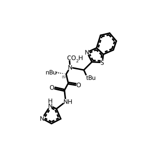 CCCC[C@@H](C(=O)C(=O)Nc1ccn[nH]1)N(C(=O)O)C(c1nc2ccccc2s1)C(C)(C)C